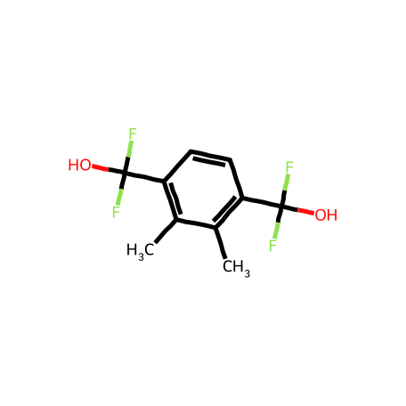 Cc1c(C(O)(F)F)ccc(C(O)(F)F)c1C